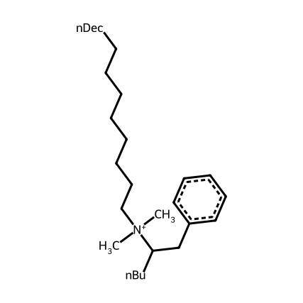 CCCCCCCCCCCCCCCCCC[N+](C)(C)C(CCCC)Cc1ccccc1